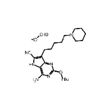 CCCCOc1nc(N)c2[nH]c(C#N)c(CCCCCN3CCCCC3)c2n1.O=CO